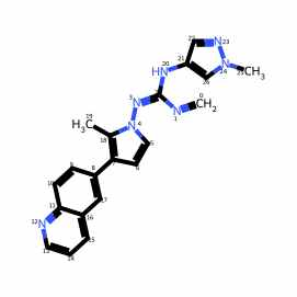 C=N/C(=N\n1ccc(-c2ccc3ncccc3c2)c1C)Nc1cnn(C)c1